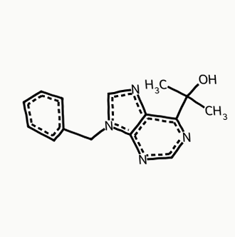 CC(C)(O)c1ncnc2c1ncn2Cc1ccccc1